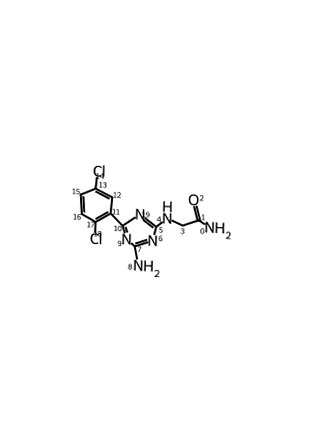 NC(=O)CNc1nc(N)nc(-c2cc(Cl)ccc2Cl)n1